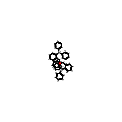 c1ccc(P(c2ccccc2)c2ccccc2CC2(Cc3ccccc3P(c3ccccc3)c3ccccc3)CCCCC2)cc1